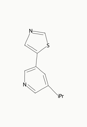 CC(C)c1cncc(-c2cncs2)c1